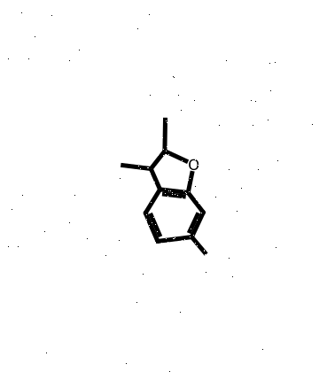 Cc1ccc2c(c1)OC(C)C2C